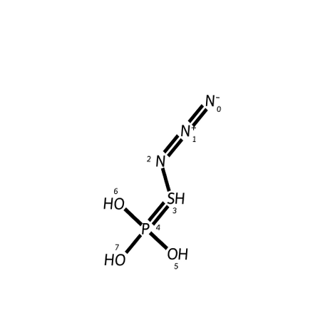 [N-]=[N+]=N[SH]=P(O)(O)O